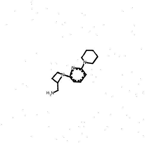 NCC1CCN1c1cccc(N2CCCCC2)n1